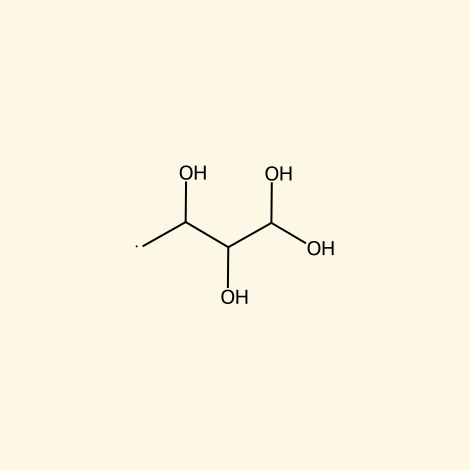 [CH2]C(O)C(O)C(O)O